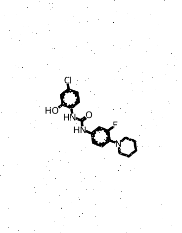 O=C(Nc1ccc(N2CCCCC2)c(F)c1)Nc1ccc(Cl)cc1O